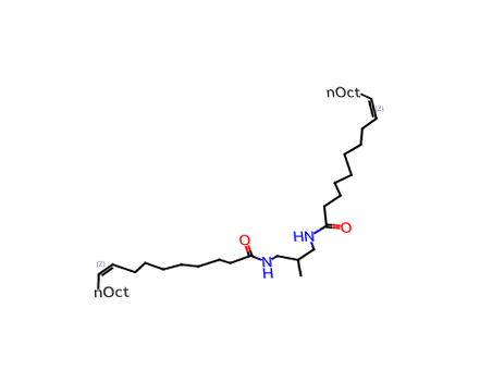 CCCCCCCC/C=C\CCCCCCCC(=O)NCC(C)CNC(=O)CCCCCCC/C=C\CCCCCCCC